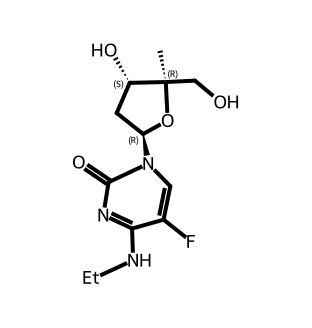 CCNc1nc(=O)n([C@H]2C[C@H](O)[C@@](C)(CO)O2)cc1F